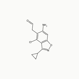 Nc1cc2onc(C3CC3)c2c(Cl)c1CC=O